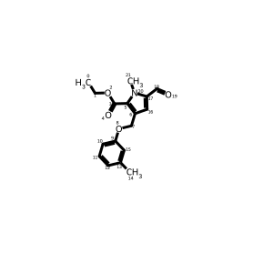 CCOC(=O)c1c(COc2cccc(C)c2)cc(C=O)n1C